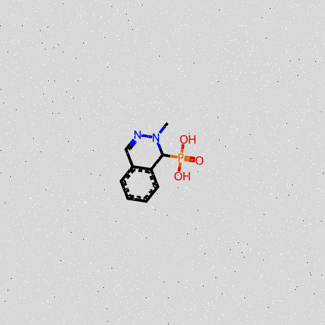 CN1N=Cc2ccccc2C1P(=O)(O)O